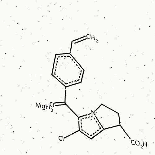 C=Cc1ccc(C(=O)c2c(Cl)cc3n2CCC3C(=O)O)cc1.[MgH2]